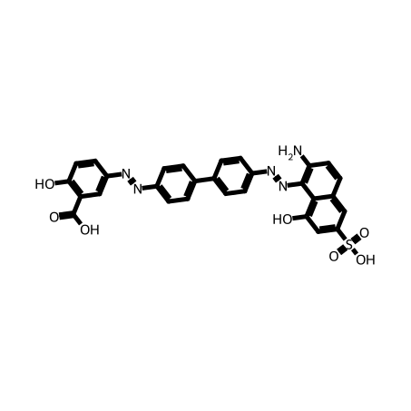 Nc1ccc2cc(S(=O)(=O)O)cc(O)c2c1/N=N/c1ccc(-c2ccc(/N=N/c3ccc(O)c(C(=O)O)c3)cc2)cc1